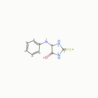 O=C1NC(=S)NC1[N]c1ccccc1